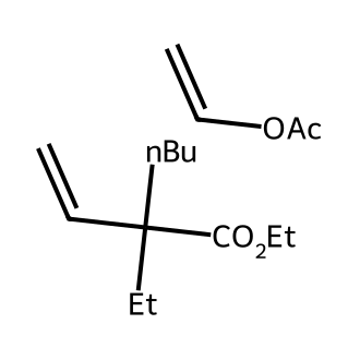 C=CC(CC)(CCCC)C(=O)OCC.C=COC(C)=O